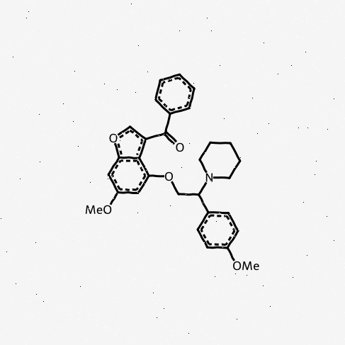 COc1ccc(C(COc2cc(OC)cc3occ(C(=O)c4ccccc4)c23)N2CCCCC2)cc1